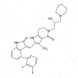 Cc1c(/C=C2\C(=O)Nc3cccc(-c4cccc(F)c4F)c32)[nH]c2c1C(=O)N(CC(O)CN1CCCCC1)CC2